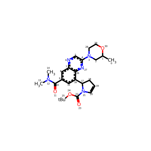 CC1CN(c2cnc3cc(C(=O)N(C)C)cc(C4CC=CN4C(=O)OC(C)(C)C)c3n2)CCO1